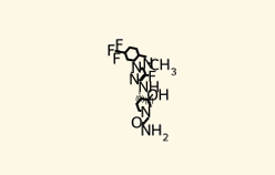 CN(CC1CCC(C(F)(F)F)CC1)c1ncnc(NC[C@H]2CCN(CC(N)=O)C[C@@H]2O)c1F